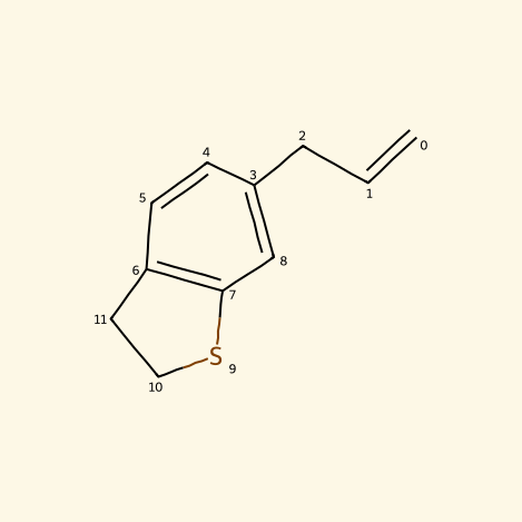 C=CCc1ccc2c(c1)SCC2